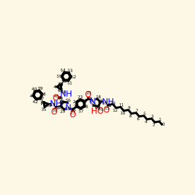 CCCCCCCCCCCCCCC(=O)N[C@@H]1CN(C(=O)c2ccc(C(=O)N3C[C@@H](C(=O)N[C@H]4C[C@@H]4c4ccccc4)[C@H](C(=O)N[C@H]4C[C@@H]4c4ccccc4)C3)cc2)C[C@H]1O